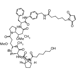 CC[C@H](C)[C@@H]([C@@H](CC(=O)N1CCC[C@H]1[C@H](OC)[C@@H](C)C(=O)N[C@@H](Cc1ccccc1)C(=O)Nc1ccc(CNC(=O)CCCCCN2C(=O)C=CC2=O)cc1)OC)N(C)C(=O)[C@@H](NC(=O)[C@@H]1[C@H]2CC[C@@H]([C@H]2C)N1C(=O)CCCCCO)C(C)C